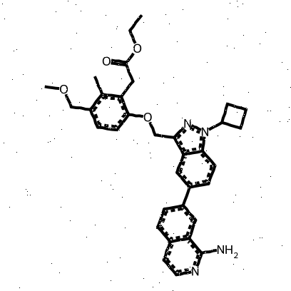 CCOC(=O)Cc1c(OCc2nn(C3CCC3)c3ccc(-c4ccc5ccnc(N)c5c4)cc23)ccc(COC)c1C